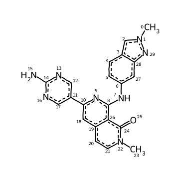 Cn1cc2ccc(Nc3nc(-c4cnc(N)nc4)cc4ccn(C)c(=O)c34)cc2n1